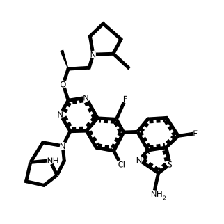 CC1CCCN1C[C@H](C)Oc1nc(N2CC3CCC(C2)N3)c2cc(Cl)c(-c3ccc(F)c4sc(N)nc34)c(F)c2n1